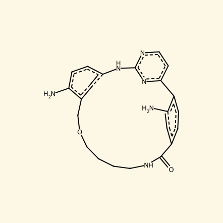 Nc1ccc2cc1COCCCCNC(=O)c1ccc(c(N)c1)-c1ccnc(n1)N2